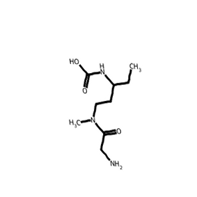 CCC(CCN(C)C(=O)CN)NC(=O)O